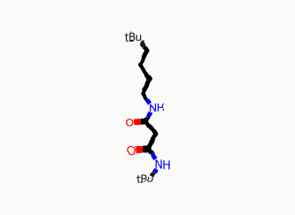 CC(C)(C)CCCCNC(=O)CC(=O)NC(C)(C)C